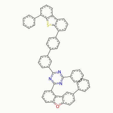 c1ccc(-c2ccc3oc4cccc(-c5nc(-c6ccccc6)nc(-c6cccc(-c7ccc(-c8cccc9c8sc8c(-c%10ccccc%10)cccc89)cc7)c6)n5)c4c3c2)cc1